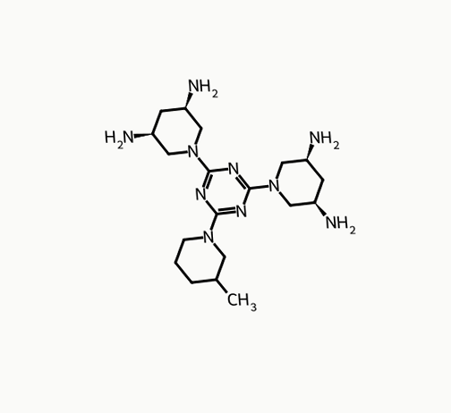 CC1CCCN(c2nc(N3C[C@H](N)C[C@H](N)C3)nc(N3C[C@H](N)C[C@H](N)C3)n2)C1